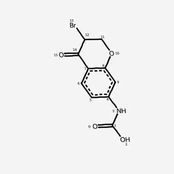 O=C(O)Nc1ccc2c(c1)OCC(Br)C2=O